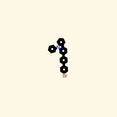 Brc1ccc(-c2ccc(-c3ccc4c5ccccc5n(-c5ccccc5)c4c3)cc2)cc1